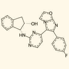 O[C@H]1Cc2ccccc2[C@H]1Nc1nccc(-c2c(-c3ccc(F)cc3)nc3occn23)n1